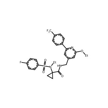 CCOc1cc(CNC(=O)C2(N(CC)S(=O)(=O)c3ccc(F)cc3)CC2)cc(-c2ccc(C(F)(F)F)cc2)n1